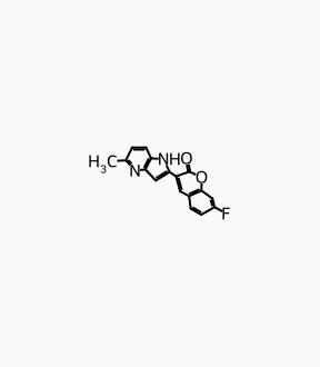 Cc1ccc2[nH]c(-c3cc4ccc(F)cc4oc3=O)cc2n1